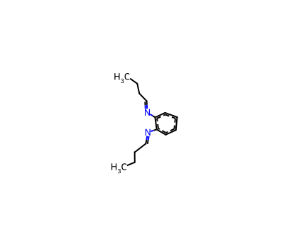 CCCC=Nc1ccccc1N=CCCC